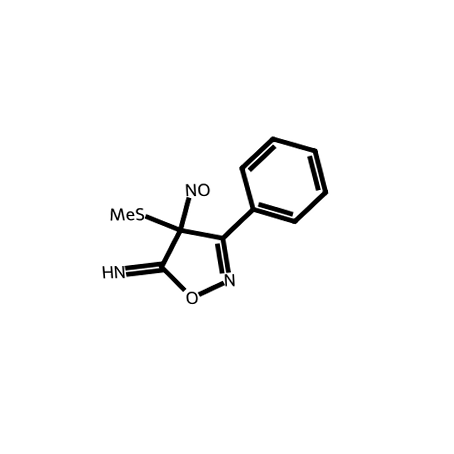 CSC1(N=O)C(=N)ON=C1c1ccccc1